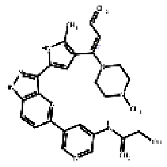 C=C/C=C(\c1cc(-c2n[nH]c3ccc(-c4cncc(NC(=C)CC(C)(C)C)c4)nc23)[nH]c1C)N1CCN(C)CC1